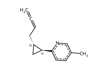 C=C=CC[C@H]1C[C@@H]1c1ccc(C)cn1